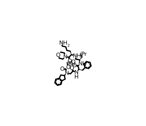 CC(C)C[C@@H](NC(=O)[C@@H](Cc1ccccc1)NC(=O)CN(C(=O)OC(C)(C)C)C1Cc2ccccc2C1)C(=O)N[C@H](CCCCN)C(=O)N1CCOCC1